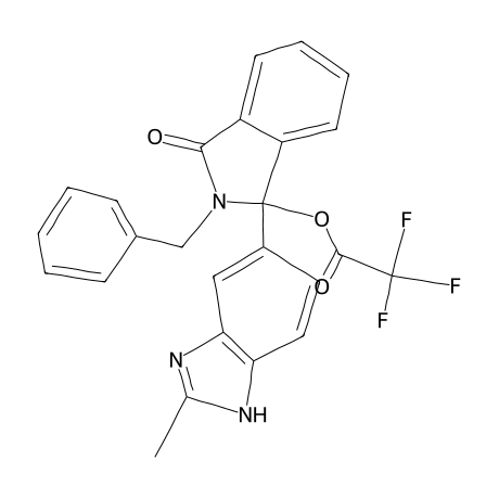 Cc1nc2cc(C3(OC(=O)C(F)(F)F)c4ccccc4C(=O)N3Cc3ccccc3)ccc2[nH]1